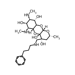 CN[C@@H]1[C@H](O)[C@H](NC)[C@H]2O[C@]3(O)[C@H](OC2[C@H]1O)O[C@H](C)C[C@@]3(O)CNCCCc1ccccc1